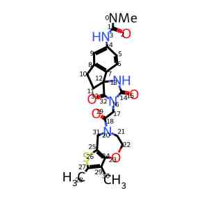 CNC(=O)Nc1ccc2c(c1)CCC21NC(=O)N(CC(=O)N2CCOc3c(sc(C)c3C)C2)C1=O